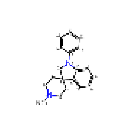 N#CN1CCC2(CC1)CN(c1ccccc1)c1ccccc12